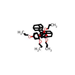 C=CCOc1ccc(C23CC4CC(CC(C4)C2C2C4CC5CC(C4)CC2(c2ccc(OCC=C)cc2OCC=C)C5)C3)c(OCC=C)c1